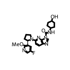 COc1ncc(F)cc1[C@H]1CCCN1c1ccc2ncn(C(=O)NC3CCC(O)CC3)c2n1